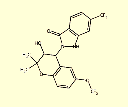 CC1(C)Oc2ccc(OC(F)(F)F)cc2C(n2[nH]c3cc(C(F)(F)F)ccc3c2=O)C1O